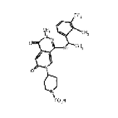 Cc1c(C(C)Nc2nn(C)c(=O)c3cc(=O)n(C4CCN(C(=O)O)CC4)cc23)cccc1C(F)(F)F